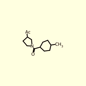 CC(=O)C1CCN(C(=O)C2CCC(C)CC2)C1